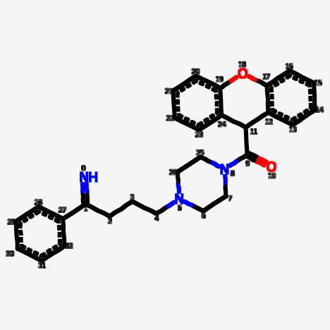 N=C(CCCN1CCN(C(=O)C2c3ccccc3Oc3ccccc32)CC1)c1ccccc1